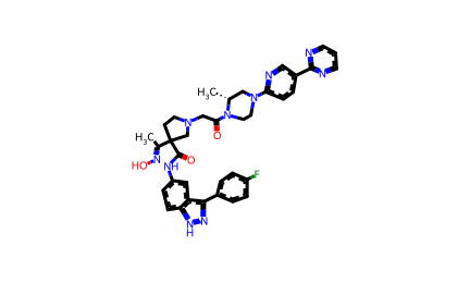 CC(=NO)C1(C(=O)Nc2ccc3[nH]nc(-c4ccc(F)cc4)c3c2)CCN(CC(=O)N2CCN(c3ccc(-c4ncccn4)cn3)C[C@H]2C)C1